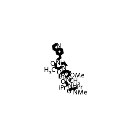 CC[C@H](C)C([C@@H](CC(=O)N1CCC[C@H]1[C@H](OC)[C@@H](C)C(=O)NCCc1ccc2ncccc2c1)OC)N(C)C(=O)[C@@H](NC(=O)[C@@H](NC)C(C)C)C(C)C